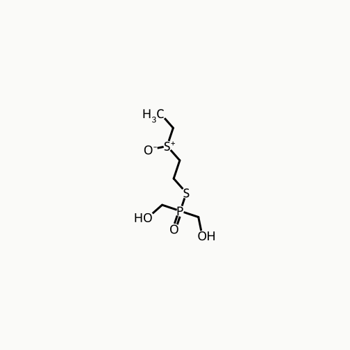 CC[S+]([O-])CCSP(=O)(CO)CO